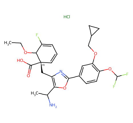 CCOC1C(F)=CC=C[C@]1(Cc1nc(-c2ccc(OC(F)F)c(OCC3CC3)c2)oc1C(C)N)C(=O)O.Cl